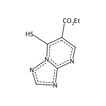 CCOC(=O)c1cnc2ncnn2c1S